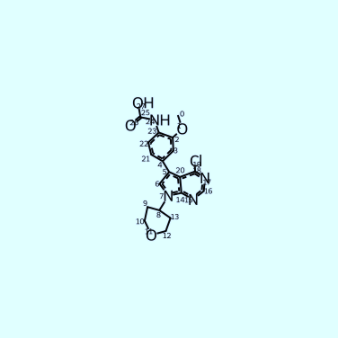 COc1cc(-c2cn(C3CCOCC3)c3ncnc(Cl)c23)ccc1NC(=O)O